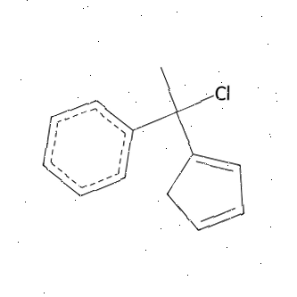 CC(Cl)(C1=CC=CC1)c1ccccc1